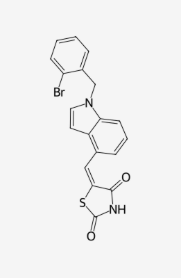 O=C1NC(=O)C(=Cc2cccc3c2ccn3Cc2ccccc2Br)S1